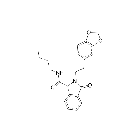 CCCCNC(=O)C1c2ccccc2C(=O)N1CCc1ccc2c(c1)OCO2